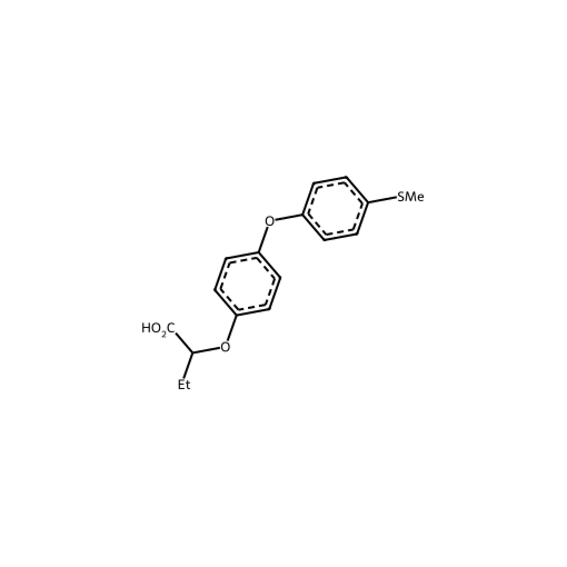 CCC(Oc1ccc(Oc2ccc(SC)cc2)cc1)C(=O)O